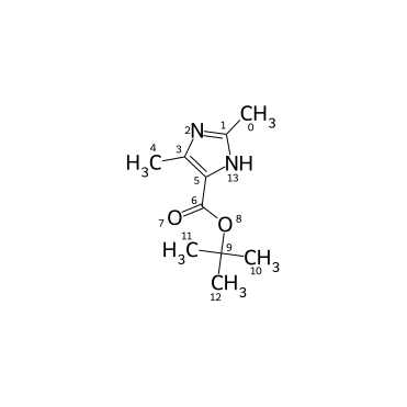 Cc1nc(C)c(C(=O)OC(C)(C)C)[nH]1